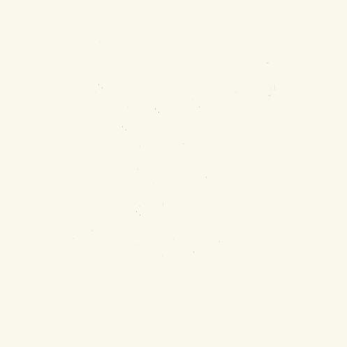 CCS(=O)(=O)c1ccc(Oc2cc3c(cc2Cn2ccc(O)cc2=O)nc(-c2ccccn2)n3COCC[Si](C)(C)C)cc1